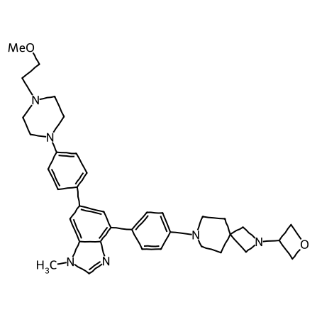 COCCN1CCN(c2ccc(-c3cc(-c4ccc(N5CCC6(CC5)CN(C5COC5)C6)cc4)c4ncn(C)c4c3)cc2)CC1